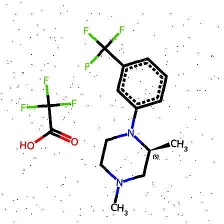 C[C@H]1CN(C)CCN1c1cccc(C(F)(F)F)c1.O=C(O)C(F)(F)F